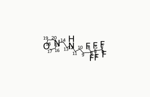 FC(F)C(F)(F)C(F)(F)CCCNCCN1CCOCC1